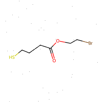 O=C(CCCS)OCCBr